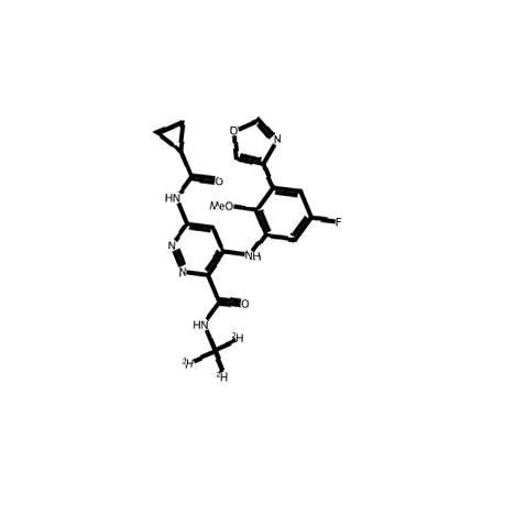 [2H]C([2H])([2H])NC(=O)c1nnc(NC(=O)C2CC2)cc1Nc1cc(F)cc(-c2cocn2)c1OC